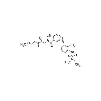 CCN(C)S(=O)(=O)Nc1cccc(Nc2ccc3ncn(CC(=O)NCCOC)c(=O)c3c2)c1C